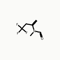 C=C(CC(F)(F)F)N(C)C=O